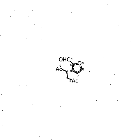 CC(=O)CCC(C)=O.O=Cc1ccco1